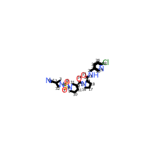 N#CC1CN(S(=O)(=O)N2CCC[C@H](C(=O)N3CCC[C@@H]3C(=O)NCc3ccc(Cl)nc3)C2)C1